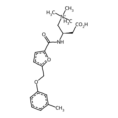 Cc1cccc(OCc2ccc(C(=O)N[C@H](CC(=O)O)C[N+](C)(C)C)o2)c1